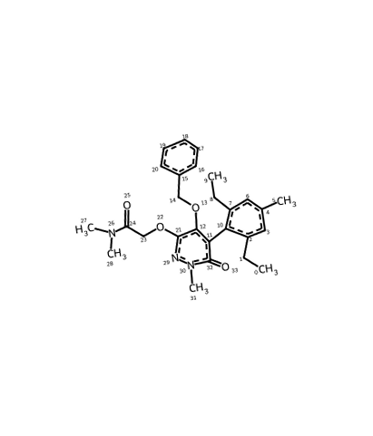 CCc1cc(C)cc(CC)c1-c1c(OCc2ccccc2)c(OCC(=O)N(C)C)nn(C)c1=O